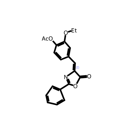 CCOc1cc(/C=C2\N=C(c3ccccc3)OC2=O)ccc1OC(C)=O